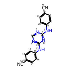 N#Cc1ccc(Nc2ncnc(Nc3ccc(C#N)cc3)n2)cc1